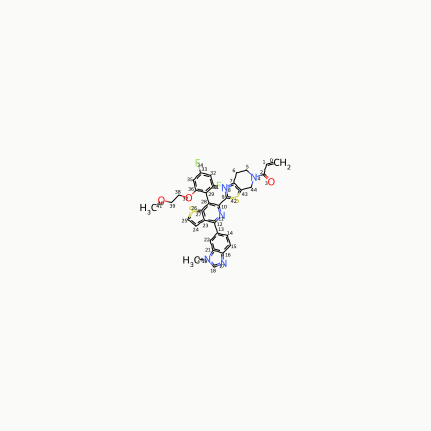 C=CC(=O)N1CCc2nc(-c3nc(-c4ccc5ncn(C)c5c4)c4ccsc4c3-c3c(F)cc(F)cc3OCCOC)sc2C1